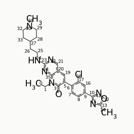 CCn1c(=O)c(-c2ccc(-c3noc(C)n3)cc2Cl)cc2cnc(NCCC3CCN(C)CC3)nc21